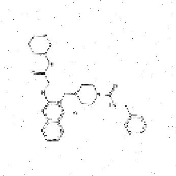 O=C(CNc1nc2ccccc2c(=O)n1CN1CCN(C(=O)NCc2ccccc2)CC1)NC1CC=CCC1